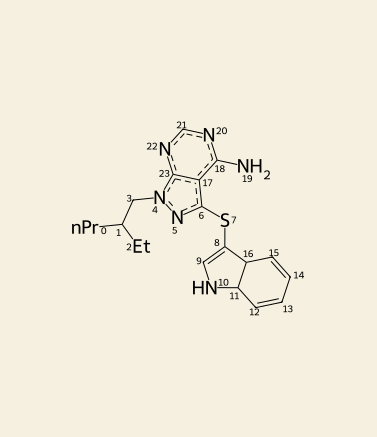 CCCC(CC)Cn1nc(SC2=CNC3C=CC=CC23)c2c(N)ncnc21